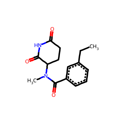 CCc1cccc(C(=O)N(C)C2CCC(=O)NC2=O)c1